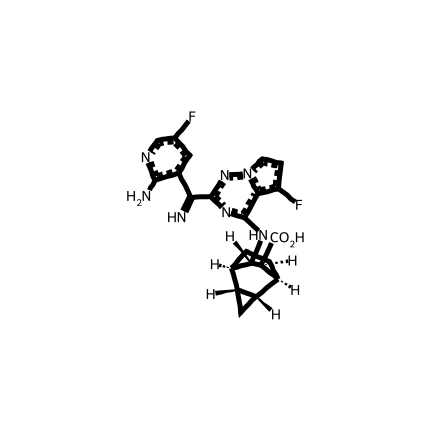 N=C(c1nc(N[C@H]2[C@@H]3CC[C@@H]([C@@H]4C[C@@H]43)[C@@H]2C(=O)O)c2c(F)ccn2n1)c1cc(F)cnc1N